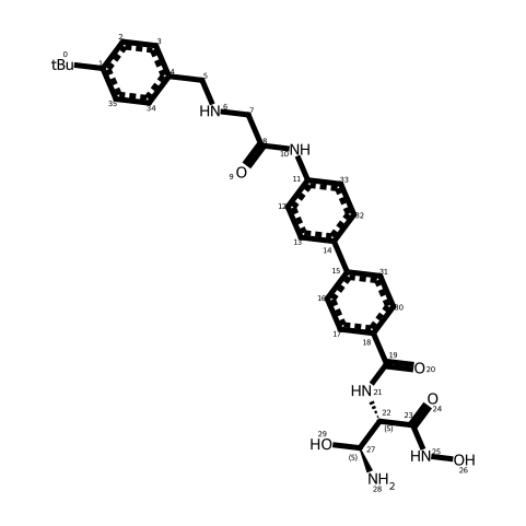 CC(C)(C)c1ccc(CNCC(=O)Nc2ccc(-c3ccc(C(=O)N[C@H](C(=O)NO)[C@@H](N)O)cc3)cc2)cc1